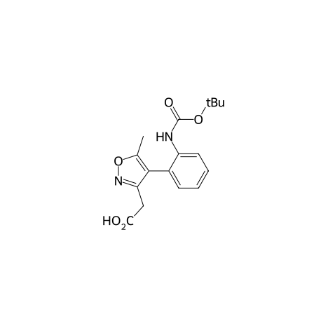 Cc1onc(CC(=O)O)c1-c1ccccc1NC(=O)OC(C)(C)C